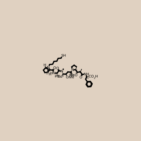 CC[C@H](C)[C@@H]([C@@H](CC(=O)N1CCC[C@H]1[C@H](OC)[C@@H](C)C(=O)N[C@@H](Cc1ccccc1)C(=O)O)OC)N(C)C(=O)[C@@H](NC(=O)C1[C@H]2CC[C@@H](C2)N1CCCCCCS)C(C)C